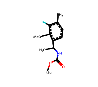 Bc1ccc(C(C)NC(=O)OC(C)(C)C)c(OC)c1F